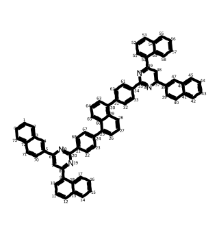 c1ccc2cc(-c3cc(-c4cccc5ccccc45)nc(-c4ccc(-c5cccc6c(-c7ccc(-c8nc(-c9ccc%10ccccc%10c9)cc(-c9cccc%10ccccc9%10)n8)cc7)cccc56)cc4)n3)ccc2c1